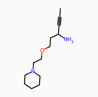 CC#CC(N)CCOCCN1CCCCC1